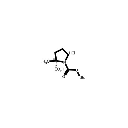 CC(C)(C)OC(=O)N1CCC[C@@]1(C)C(=O)O.Cl